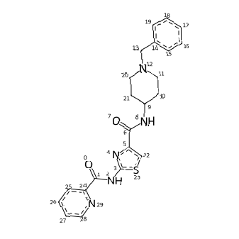 O=C(Nc1nc(C(=O)NC2CCN(Cc3ccccc3)CC2)cs1)c1ccccn1